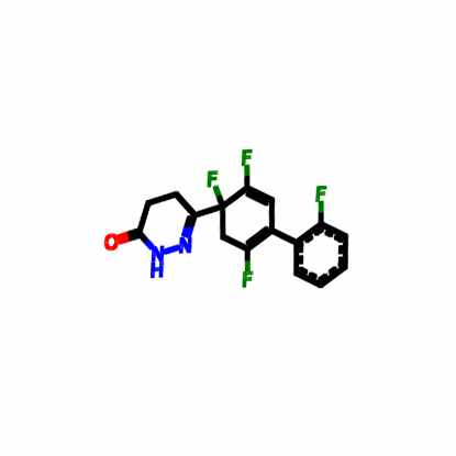 O=C1CCC(C2(F)CC(F)=C(c3ccccc3F)C=C2F)=NN1